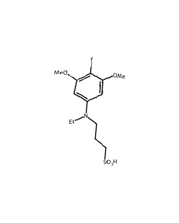 CCN(CCCS(=O)(=O)O)c1cc(OC)c(F)c(OC)c1